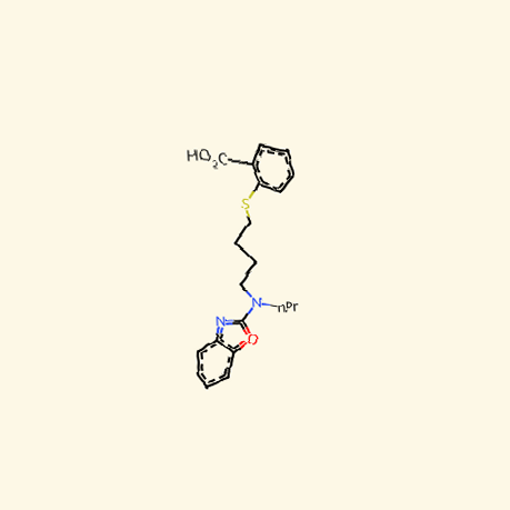 CCCN(CCCCSc1ccccc1C(=O)O)c1nc2ccccc2o1